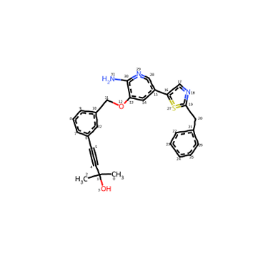 CC(C)(O)C#Cc1cccc(COc2cc(-c3cnc(Cc4ccccc4)s3)cnc2N)c1